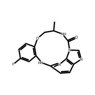 CC1COc2ccc(F)cc2Nc2ccc3ncn(c3n2)C(=O)N1